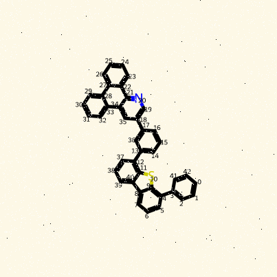 c1ccc(-c2cccc3c2sc2c(-c4cccc(-c5cnc6c7ccccc7c7ccccc7c6c5)c4)cccc23)cc1